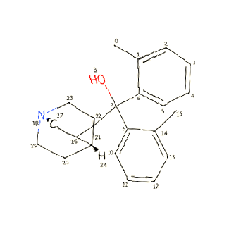 Cc1ccccc1C(O)(c1ccccc1C)C1C[N@]2CC[C@H]1CC2